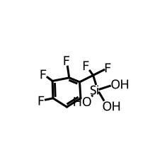 O[Si](O)(O)C(F)(F)c1ccc(F)c(F)c1F